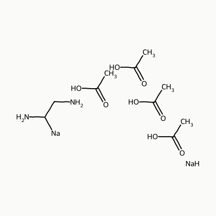 CC(=O)O.CC(=O)O.CC(=O)O.CC(=O)O.NC[CH](N)[Na].[NaH]